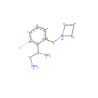 NCC(N)c1c(F)cccc1CN1CCC1